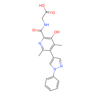 Cc1nc(C(=O)NCC(=O)O)c(O)c(C)c1-c1cnn(-c2ccccc2)c1